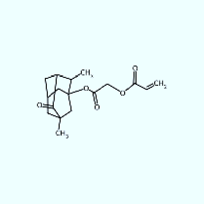 C=CC(=O)OCC(=O)OC12CC3CC(C(=O)C(C)(C3)C1)C2C